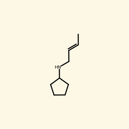 CC=CCNC1CCCC1